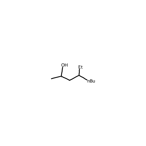 CCCCC(CC)C[C](C)O